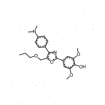 CCCOCc1oc(-c2cc(OC)c(O)c(OC)c2)nc1-c1ccc(N(C)C)cc1